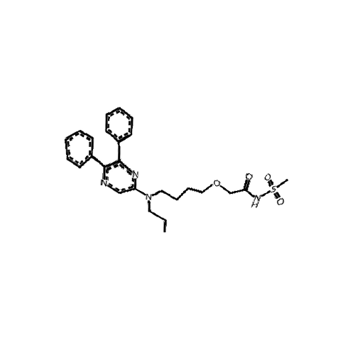 CCCN(CCCCOCC(=O)NS(C)(=O)=O)c1cnc(-c2ccccc2)c(-c2ccccc2)n1